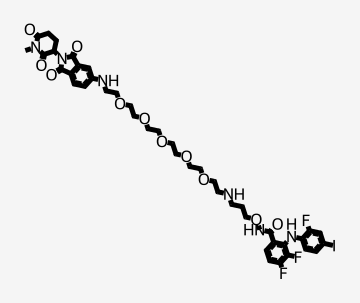 CN1C(=O)CCC(N2C(=O)c3ccc(NCCOCCOCCOCCOCCOCCNCCCONC(=O)c4ccc(F)c(F)c4Nc4ccc(I)cc4F)cc3C2=O)C1=O